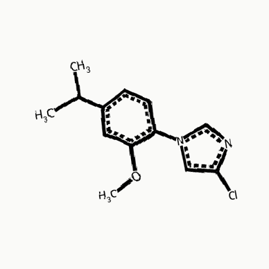 COc1cc(C(C)C)ccc1-n1cnc(Cl)c1